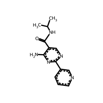 CC(C)NC(=O)c1cnc(-c2cccnc2)nc1N